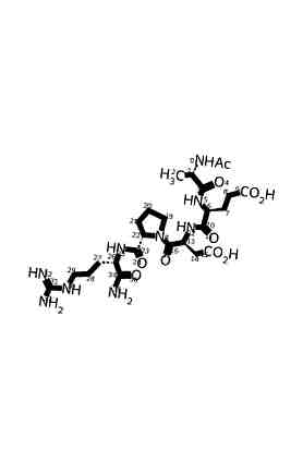 CC(=O)N[C@@H](C)C(=O)N[C@@H](CCC(=O)O)C(=O)N[C@@H](CC(=O)O)C(=O)N1CCC[C@H]1C(=O)N[C@@H](CCCNC(=N)N)C(N)=O